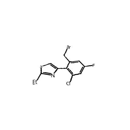 [CH2]Cc1nc(-c2c(Cl)cc(F)cc2CBr)cs1